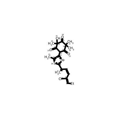 C=C(/C=C\C(Cl)=C/CC)c1nc(C2C(=O)C(C)(C)C(=O)C(C)(C)C2=O)c(C)s1